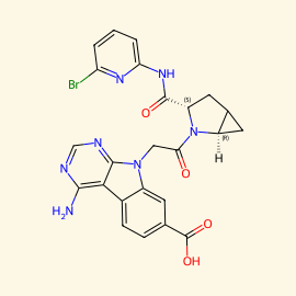 Nc1ncnc2c1c1ccc(C(=O)O)cc1n2CC(=O)N1[C@@H]2CC2C[C@H]1C(=O)Nc1cccc(Br)n1